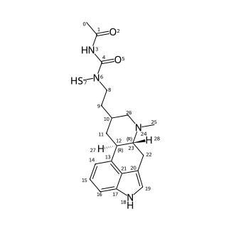 CC(=O)NC(=O)N(S)CCC1C[C@@H]2c3cccc4[nH]cc(c34)C[C@H]2N(C)C1